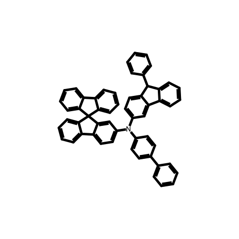 c1ccc(-c2ccc(N(c3ccc4c(c3)-c3ccccc3C4c3ccccc3)c3ccc4c(c3)C3(c5ccccc5-c5ccccc53)c3ccccc3-4)cc2)cc1